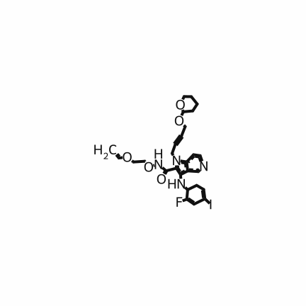 C=COCCONC(=O)c1c(NC2CC=C(I)C=C2F)c2cnccc2n1CC#CCOC1CCCCO1